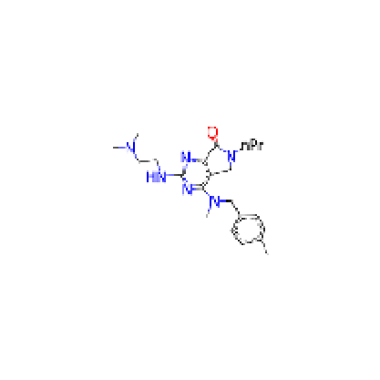 CCCN1Cc2c(nc(NCCN(C)C)nc2N(C)Cc2ccc(C)cc2)C1=O